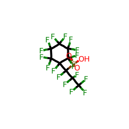 O=S(=O)(O)C(F)(C(F)(F)C(F)(F)F)C1(F)C(F)(F)C(F)(F)C(F)(F)C(F)(F)C1(F)F